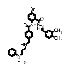 Cc1ccc(C=NNC(=O)c2cc(Br)ccc2NC(=O)c2ccc(CNCCCN(C)c3ccccc3)cc2)cc1C